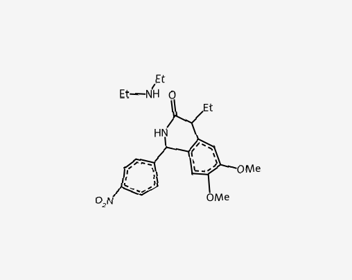 CCC1C(=O)NC(c2ccc([N+](=O)[O-])cc2)c2cc(OC)c(OC)cc21.CCNCC